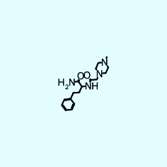 CN1CCN(CC(=O)NC(CCc2ccccc2)C(N)=O)CC1